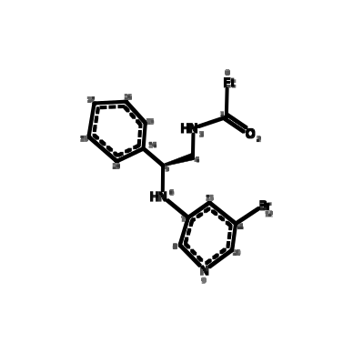 CCC(=O)NC[C@@H](Nc1cncc(Br)c1)c1ccccc1